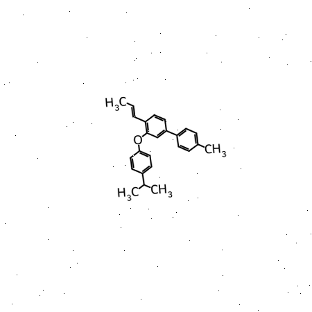 C/C=C/c1ccc(-c2ccc(C)cc2)cc1Oc1ccc(C(C)C)cc1